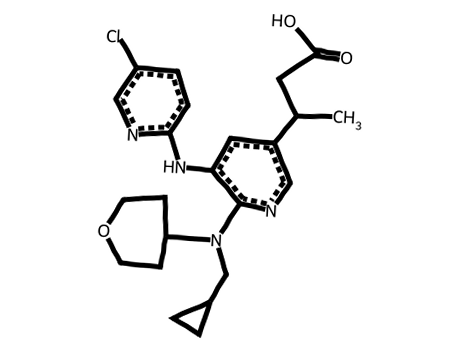 CC(CC(=O)O)c1cnc(N(CC2CC2)C2CCOCC2)c(Nc2ccc(Cl)cn2)c1